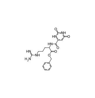 N=C(N)NCCCC(NC(=O)c1cc(=O)[nH]c(=O)[nH]1)C(=O)OCc1ccccc1